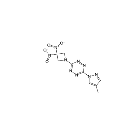 Cc1cnn(-c2nnc(N3CC([N+](=O)[O-])([N+](=O)[O-])C3)nn2)c1